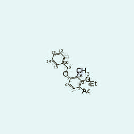 CCOc1c(C(C)=O)ccc(OCc2ccccc2)c1C